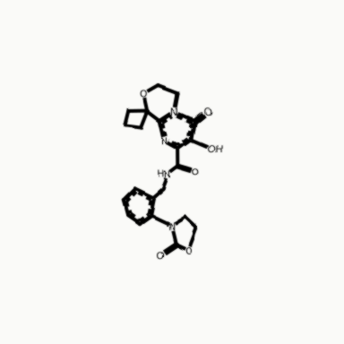 O=C(NCc1ccccc1N1CCOC1=O)c1nc2n(c(=O)c1O)CCOC21CCC1